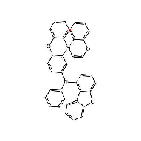 c1ccc(N(c2ccc3c(c2)[Si]2(c4ccccc4Oc4ccccc42)c2ccccc2O3)c2cccc3oc4ccccc4c23)cc1